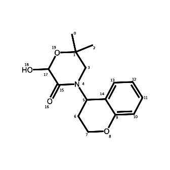 CC1(C)CN(C2CCOc3ccccc32)C(=O)C(O)O1